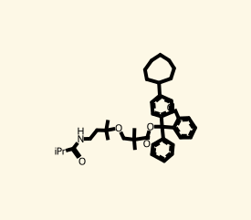 CC(C)C(=O)NCCC(C)(C)OCC(C)(C)C(=O)OC(c1ccccc1)(c1ccc(C2CCCCCCC2)cc1)c1ccccc1Cl